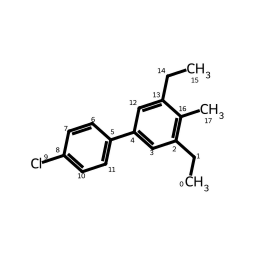 CCc1cc(-c2ccc(Cl)cc2)cc(CC)c1C